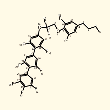 CCCCc1cc(F)c(OCC(F)(F)Oc2cc(F)c(-c3cc(F)c(-c4cc(F)c(F)c(F)c4)c(F)c3)c(F)c2)c(F)c1